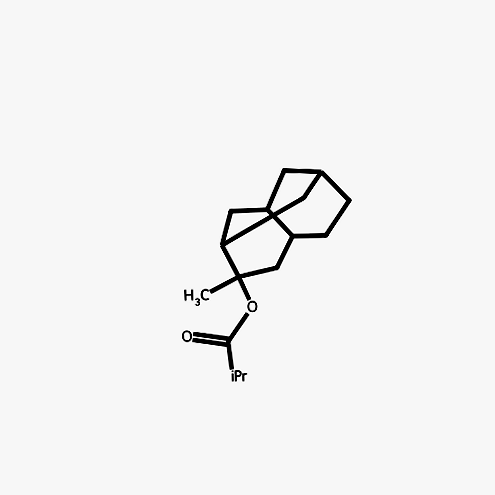 CC(C)C(=O)OC1(C)CC2CCC3CC2CC1C3